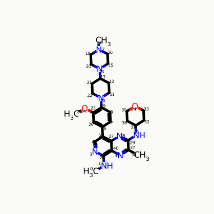 CNc1ncc(-c2ccc(N3CCC(N4CCN(C)CC4)CC3)c(OC)c2)c2nc(NC3CCOCC3)c(C)nc12